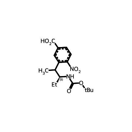 CC[C@H](NC(=O)OC(C)(C)C)C(C)c1cc(C(=O)O)ccc1[N+](=O)[O-]